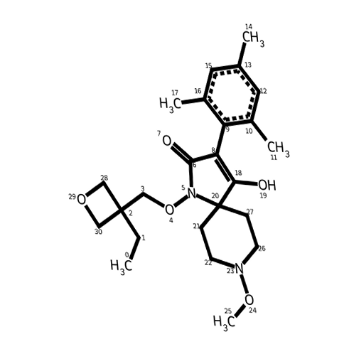 CCC1(CON2C(=O)C(c3c(C)cc(C)cc3C)=C(O)C23CCN(OC)CC3)COC1